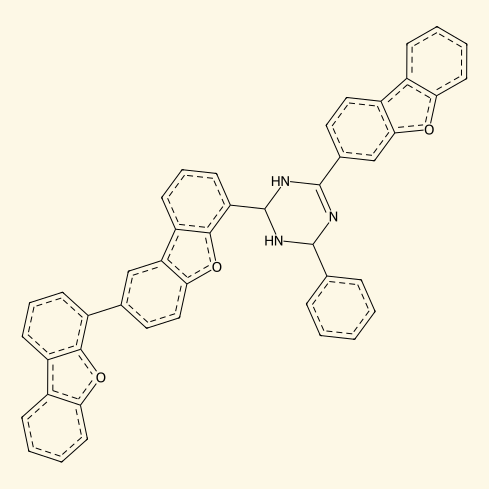 c1ccc(C2N=C(c3ccc4c(c3)oc3ccccc34)NC(c3cccc4c3oc3ccc(-c5cccc6c5oc5ccccc56)cc34)N2)cc1